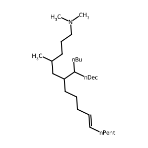 CCCCC/C=C/CCCC(CC(C)CCCN(C)C)C(CCCC)CCCCCCCCCC